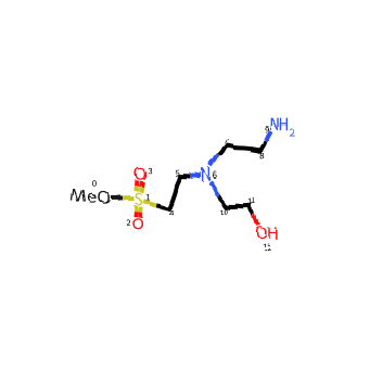 COS(=O)(=O)CCN(CCN)CCO